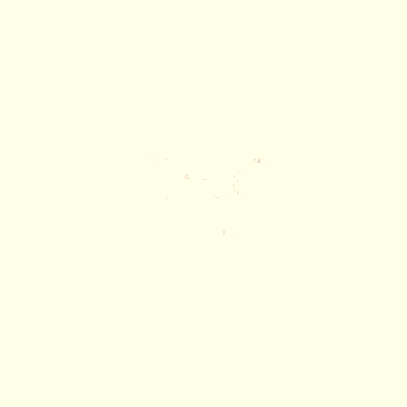 CCn1nc(N)cc1C(=O)OC